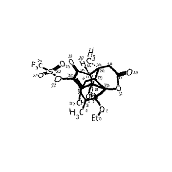 CCOC1C(C)CC[C@@]2(OCC)C13OC(=O)C[C@]2(C)[C@H]1C(=O)C(OS(=O)(=O)C(F)(F)F)=C(C)C13O